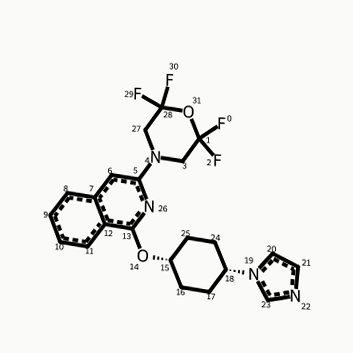 FC1(F)CN(c2cc3ccccc3c(O[C@H]3CC[C@@H](n4ccnc4)CC3)n2)CC(F)(F)O1